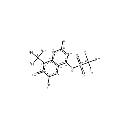 [2H]C([2H])([2H])n1c(=O)c(Br)cc2c(OS(=O)(=O)C(F)(F)F)nc(C)nc21